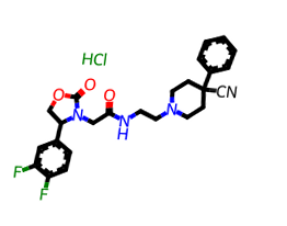 Cl.N#CC1(c2ccccc2)CCN(CCNC(=O)CN2C(=O)OCC2c2ccc(F)c(F)c2)CC1